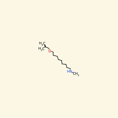 C=C(C)COCCCCCCCCCNC